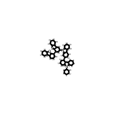 c1ccc(-n2c3ccccc3c3c(-c4ccc5c6ccccc6n(-c6cc(-c7cccc8c7oc7ccccc78)c7sc8ccccc8c7c6)c5c4)cccc32)cc1